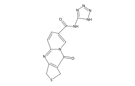 O=C(Nc1nnn[nH]1)c1ccc2nc3c(c(=O)n2c1)CSC3